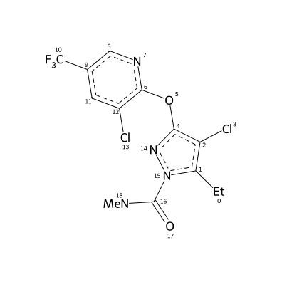 CCc1c(Cl)c(Oc2ncc(C(F)(F)F)cc2Cl)nn1C(=O)NC